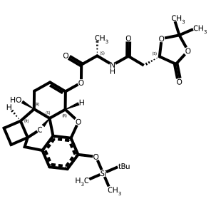 C[C@H](NC(=O)C[C@@H]1OC(C)(C)OC1=O)C(=O)OC1=CC[C@@]2(O)[C@@H]3CCC34Cc3ccc(O[Si](C)(C)C(C)(C)C)c5c3[C@@]2(C4)[C@H]1O5